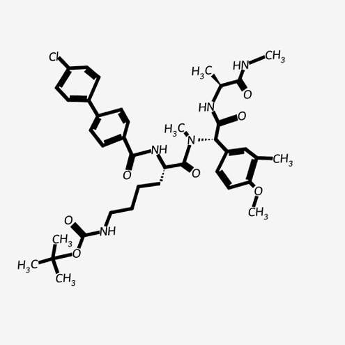 CNC(=O)[C@H](C)NC(=O)[C@H](c1ccc(OC)c(C)c1)N(C)C(=O)[C@H](CCCCNC(=O)OC(C)(C)C)NC(=O)c1ccc(-c2ccc(Cl)cc2)cc1